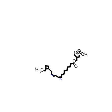 CCC1CCC1C/C=C\C/C=C\CCCCCCCC(=O)OCC1COP(=O)(O)C1